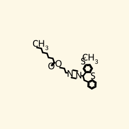 CCCCCCCC(=O)OCCCN1CCN(C2Cc3ccccc3Sc3ccc(SC)cc32)CC1